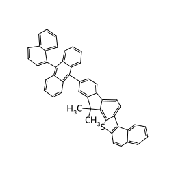 CC1(C)c2cc(-c3c4ccccc4c(-c4cccc5ccccc45)c4ccccc34)ccc2-c2ccc3c(sc4ccc5ccccc5c43)c21